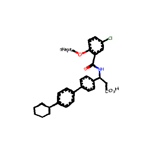 CCCCCCCOc1ccc(Cl)cc1C(=O)NC(CC(=O)O)c1ccc(-c2ccc(C3CCCCC3)cc2)cc1